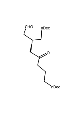 CCCCCCCCCCCCCC(=O)C[C@@H](CC=O)CCCCCCCCCCC